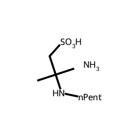 CCCCCNC(C)(C)CS(=O)(=O)O.N